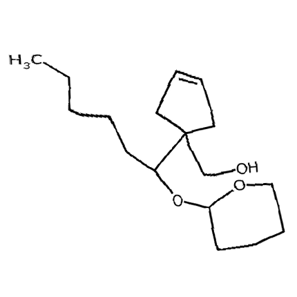 CCCCCC(OC1CCCCO1)C1(CO)CC=CC1